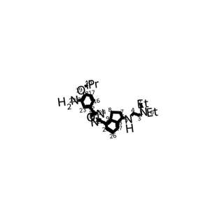 CCN(CC)CCNC1CCc2c(-c3noc(-c4ccc(OC(C)C)c(N)c4)n3)cccc21